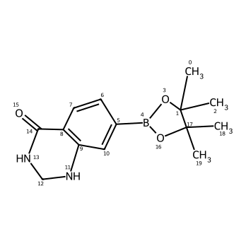 CC1(C)OB(c2ccc3c(c2)NCNC3=O)OC1(C)C